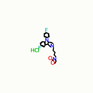 Cl.O=C1OCCN1CCCCCN1CCC2C(C1)c1cc(F)ccc1N2c1ccc(F)cc1